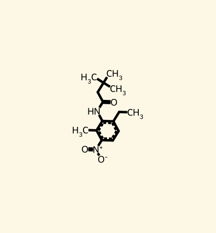 CCc1ccc([N+](=O)[O-])c(C)c1NC(=O)CC(C)(C)C